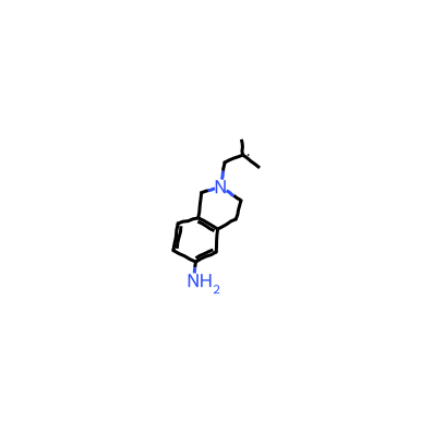 C[C](C)CN1CCc2cc(N)ccc2C1